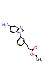 CCOC(=O)CCc1cccc(-n2cnc3cc(N)ccc32)c1